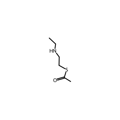 CCNCCSC(C)=O